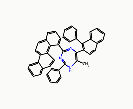 CC1=C(c2ccc3ccccc3c2-c2ccccc2)N=C(c2cccc3ccc4c5ccccc5ccc4c23)N=C(c2ccccc2)N1